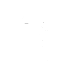 CC(=O)N1CCN(c2nc3c(c(N4CCCC4Cc4ccc(F)cc4)n2)CN(C(C)C)C3=O)CC1